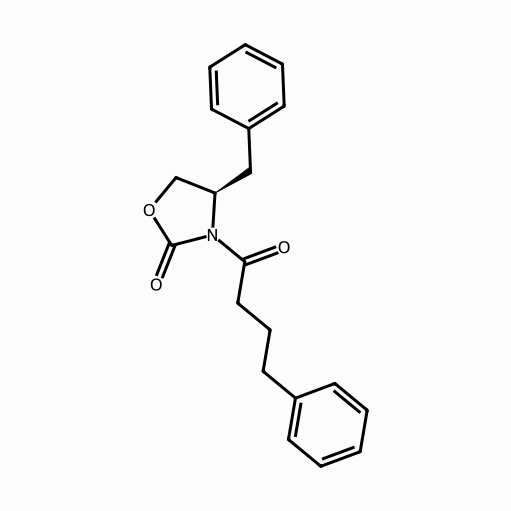 O=C(CCCc1ccccc1)N1C(=O)OC[C@H]1Cc1ccccc1